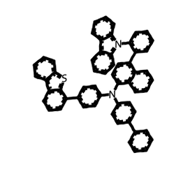 c1ccc(-c2ccc(N(c3ccc(-c4cccc5c4sc4ccccc45)cc3)c3ccc(-c4ccccc4-n4c5ccccc5c5ccccc54)c4ccccc34)cc2)cc1